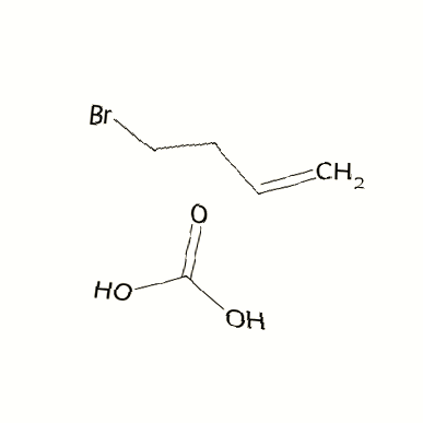 C=CCCBr.O=C(O)O